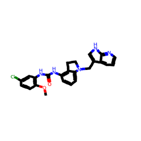 COc1ccc(Cl)cc1NC(=O)Nc1cccc2c1CCN2Cc1c[nH]c2ncccc12